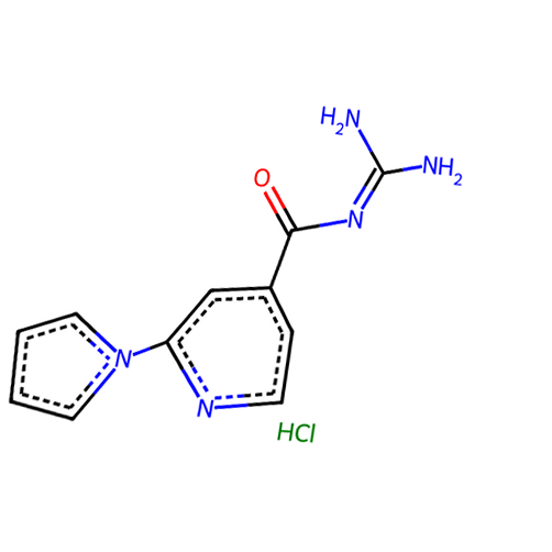 Cl.NC(N)=NC(=O)c1ccnc(-n2cccc2)c1